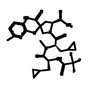 Cc1ccc2c(n1)OC1(C[C@@H](C(N)=O)N(C(=O)[C@H](CC3CC3)N(C)C(=O)[C@H](CC3CC3)NC(=O)C(F)(F)F)C1)C(=O)N2